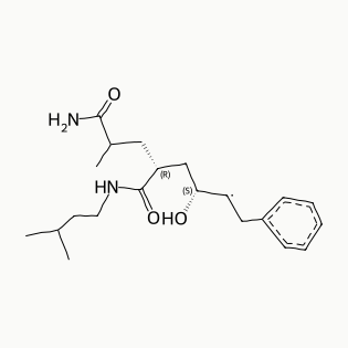 CC(C)CCNC(=O)[C@H](CC(C)C(N)=O)C[C@@H](O)[CH]Cc1ccccc1